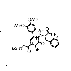 COCC(=O)N1C=C(c2ccc(OC)c(OC)c2)N(N(C(C)=O)C(Cc2ccccc2)C(=O)C(F)(F)F)C(=O)C1C(C)C